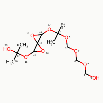 CCC(C)(OCOCOCO)OC1OC12OC2OC(C)(C)O